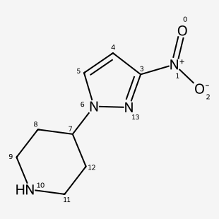 O=[N+]([O-])c1ccn(C2CCNCC2)n1